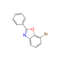 Brc1cccc2nc(-c3ccccc3)oc12